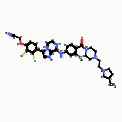 CC1CCN(CCN2CCN(C(=O)c3ccc(Nc4nccn5c(-c6ccc(OCC#N)c(F)c6F)cnc45)cc3Cl)CC2)C1